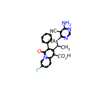 CC([AsH]c1ncnc(N)c1C#N)c1c(-c2ccccc2)c(=O)n2cc(F)ccc2c1C(=O)O